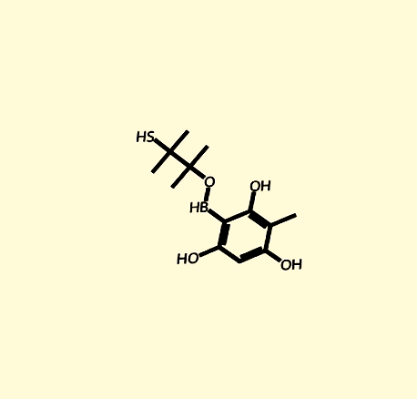 Cc1c(O)cc(O)c(BOC(C)(C)C(C)(C)S)c1O